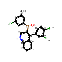 N#Cc1cc(F)cc([S+]([O-])c2cnc3ccccc3c2-c2ccc(F)c(F)c2)c1